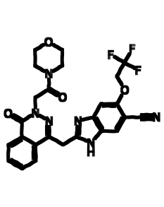 N#Cc1cc2[nH]c(Cc3nn(CC(=O)N4CCOCC4)c(=O)c4ccccc34)nc2cc1OCC(F)(F)F